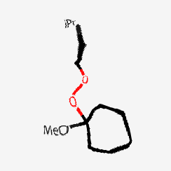 COC1(OOCCC(C)C)CCCCC1